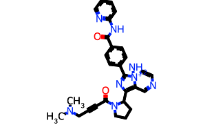 CN(C)CC#CC(=O)N1CCCC1C1=C2C=NC=C[N+]2(N)C(c2ccc(C(=O)Nc3ccccn3)cc2)=N1